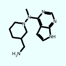 CN(c1ncnc2[nH]ccc12)N1CCCC(CN)C1